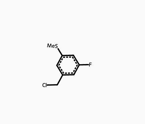 CSc1cc(F)cc(CCl)c1